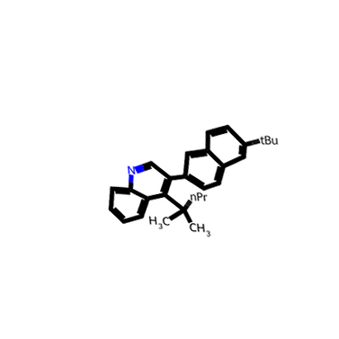 CCCC(C)(C)c1c(-c2ccc3cc(C(C)(C)C)ccc3c2)cnc2ccccc12